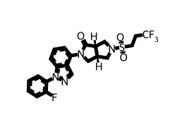 O=C1[C@@H]2CN(S(=O)(=O)CCC(F)(F)F)C[C@@H]2CN1c1cccc2c1cnn2-c1ccccc1F